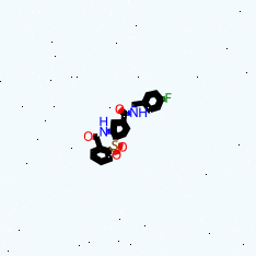 O=C(NCc1ccc(F)cc1)c1ccc2c(c1)NC(=O)c1ccccc1S2(=O)=O